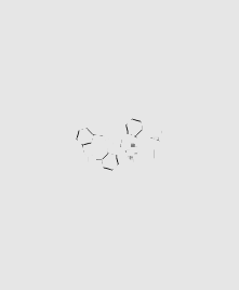 C1CO1.CS(=O)(=O)N(Cc1ccccc1)c1cccc2c1OCc1cccc(c1)CO2